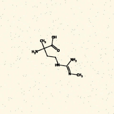 C/N=C(\N)NCCC(C)(N)C(=O)O